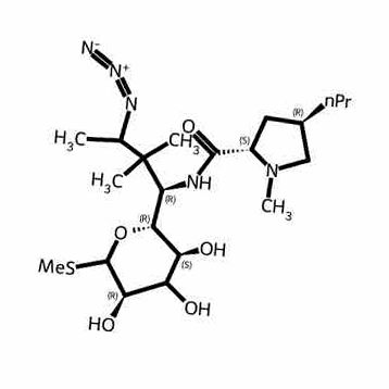 CCC[C@@H]1C[C@@H](C(=O)N[C@@H]([C@H]2OC(SC)[C@H](O)C(O)[C@@H]2O)C(C)(C)C(C)N=[N+]=[N-])N(C)C1